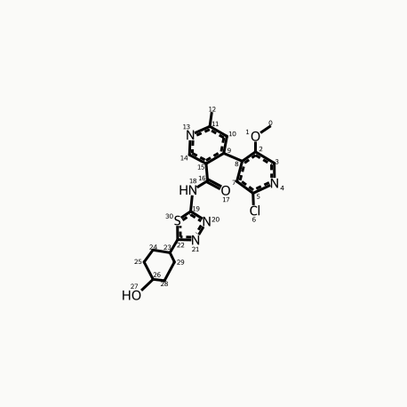 COc1cnc(Cl)cc1-c1cc(C)ncc1C(=O)Nc1nnc(C2CCC(O)CC2)s1